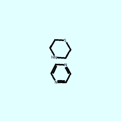 C1CSCCN1.c1cnccn1